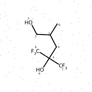 CC(CO)CC(O)(C(F)(F)F)C(F)(F)F